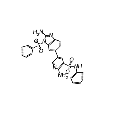 Nc1ncc(-c2ccc3nc(N)n(S(=O)(=O)c4ccccc4)c3c2)cc1S(=O)(=O)Nc1ccccc1